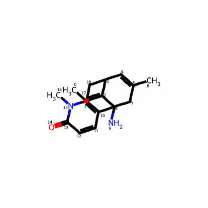 C/C=C1\C2C=C(C)CC1(N)c1ccc(=O)n(C)c1C2